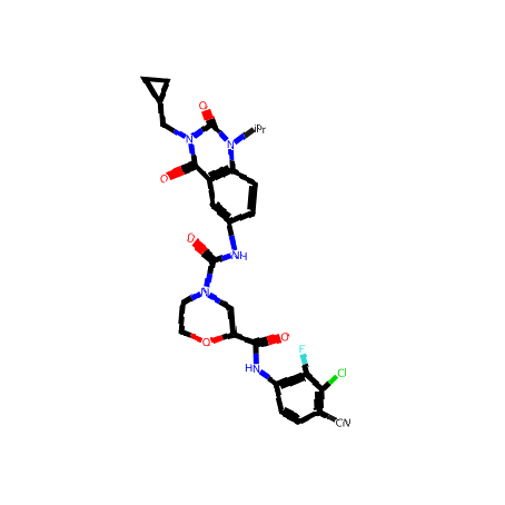 CC(C)n1c(=O)n(CC2CC2)c(=O)c2cc(NC(=O)N3CCOC(C(=O)Nc4ccc(C#N)c(Cl)c4F)C3)ccc21